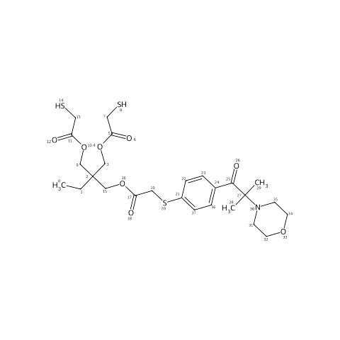 CCC(COC(=O)CS)(COC(=O)CS)COC(=O)CSc1ccc(C(=O)C(C)(C)N2CCOCC2)cc1